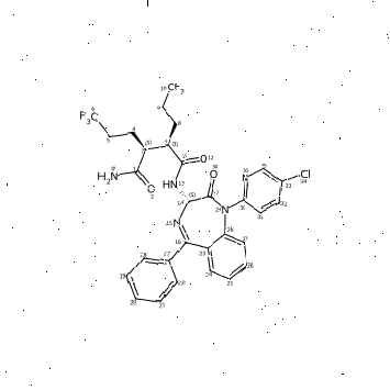 NC(=O)[C@@H](CCC(F)(F)F)[C@@H](CCC(F)(F)F)C(=O)N[C@H]1N=C(c2ccccc2)c2ccccc2N(c2ccc(Cl)cn2)C1=O